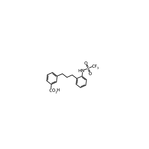 O=C(O)c1cccc(CCCc2ccccc2NS(=O)(=O)C(F)(F)F)c1